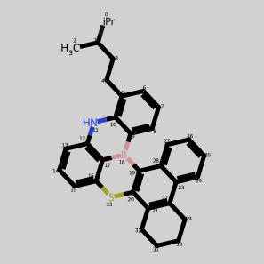 CC(C)C(C)CCc1cccc2c1Nc1cccc3c1B2c1c(c2c(c4ccccc14)CCCC2)S3